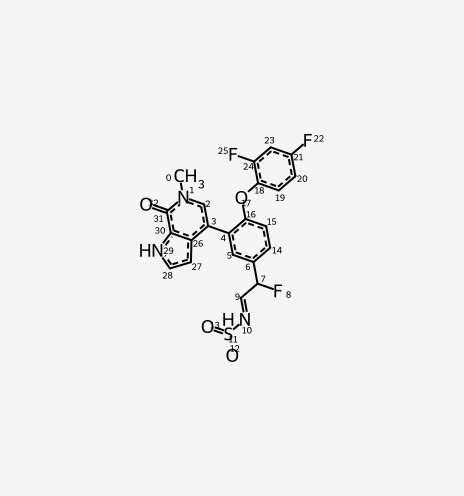 Cn1cc(-c2cc(C(F)C=N[SH](=O)=O)ccc2Oc2ccc(F)cc2F)c2cc[nH]c2c1=O